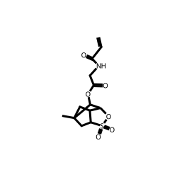 C=CC(=O)NCC(=O)OC1C2OS(=O)(=O)C3CC1(C)CC23